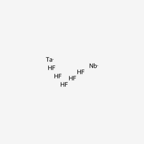 F.F.F.F.F.[Nb].[Ta]